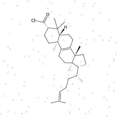 CC(C)=CCC[C@@H](C)[C@H]1CC[C@@]2(C)C3=C(CC[C@]12C)[C@@]1(C)CC[C@H](C(=O)Cl)C(C)(C)[C@@H]1CC3